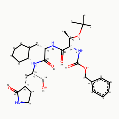 C[C@@H](OC(C)(C)C)[C@H](NC(=O)OCc1ccccc1)C(=O)N[C@@H](CC1CCCCC1)C(=O)N[C@H](CO)C[C@@H]1CCNC1=O